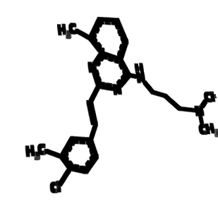 Cc1cc(/C=C/c2nc(NCCCN(C)C)c3cccc(C)c3n2)ccc1Cl